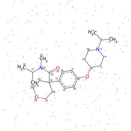 CC(C)N1CCC(Oc2ccc(C3(C(=O)N(C)C(C)C)CCOCC3)cc2)CC1